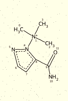 C[N+](C)(C)n1nccc1C(N)=O